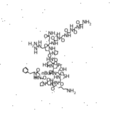 CCCC[C@H](NC(=O)[C@H]1CCCN1C(=O)CNC(=O)[C@@H](CCCCN)NC(=O)[C@@H](CS)NC(=O)[C@H](CO)NC(=O)[C@H](CC(C)C)NC(=O)[C@@H](CS)NC(=O)[C@H]1CCCN1C(=O)[C@@H](CCCNC(=N)N)NC(=O)[C@@H](CCC(N)=O)NC(=O)CNC(=O)CNC(=O)CNC(=O)CNC(=O)CN)C(=O)NCCc1ccccc1